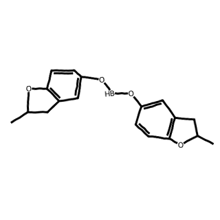 CC1Cc2cc(OBOc3ccc4c(c3)CC(C)O4)ccc2O1